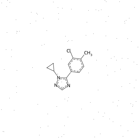 Cc1ccc(-c2ncnn2C2CC2)cc1Cl